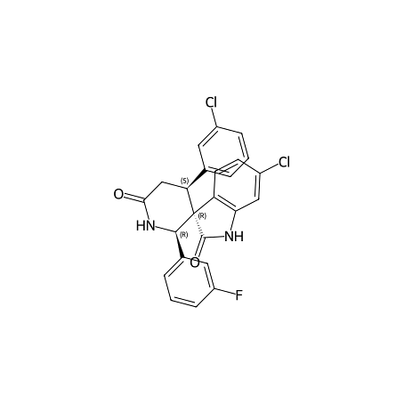 O=C1C[C@@H](c2cccc(Cl)c2)[C@]2(C(=O)Nc3cc(Cl)ccc32)[C@@H](c2cccc(F)c2)N1